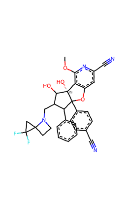 COc1nc(C#N)cc2c1[C@]1(O)C(O)C(CN3CCC34CC4(F)F)C(c3ccccc3)C1(c1ccc(C#N)cc1)O2